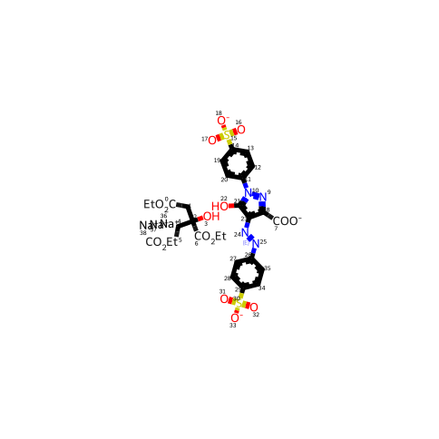 CCOC(=O)CC(O)(CC(=O)OCC)C(=O)OCC.O=C([O-])c1nn(-c2ccc(S(=O)(=O)[O-])cc2)c(O)c1/N=N/c1ccc(S(=O)(=O)[O-])cc1.[Na+].[Na+].[Na+]